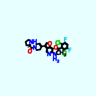 C[C@@H](Oc1c(N)ncc2c(C3=CCN(C(=O)[C@@H]4CCCN4)CC3)coc12)c1c(Cl)c(F)cc(F)c1Cl